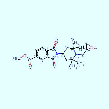 COC(=O)c1ccc2c(c1)C(=O)N(C1CC(C)(C)N(CC3CO3)C(C)(C)C1)C2=O